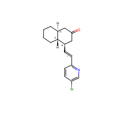 O=C1C[C@@H]2CCCC[C@H]2[C@H](/C=C/c2ccc(Br)cn2)C1